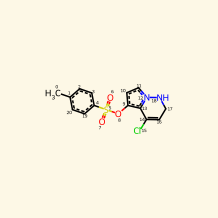 Cc1ccc(S(=O)(=O)Oc2ccn3c2C(Cl)=CCN3)cc1